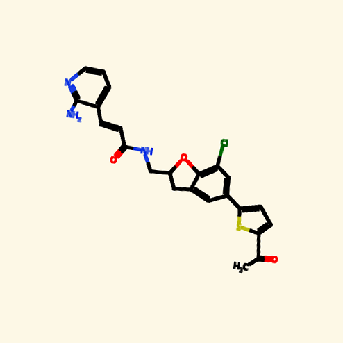 CC(=O)c1ccc(-c2cc(Cl)c3c(c2)CC(CNC(=O)C=Cc2cccnc2N)O3)s1